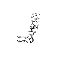 COc1cc2ncnc(N3CCN(C(=O)Nc4ccc(N5CCOCC5)cc4)CC3)c2cc1OC